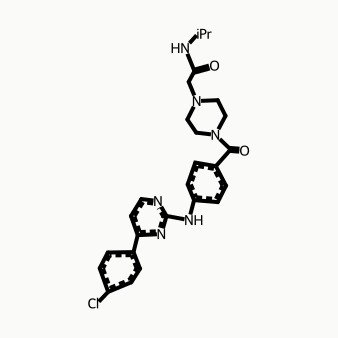 CC(C)NC(=O)CN1CCN(C(=O)c2ccc(Nc3nccc(-c4ccc(Cl)cc4)n3)cc2)CC1